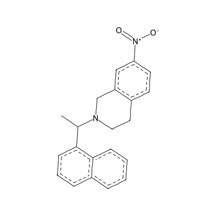 CC(c1cccc2ccccc12)N1CCc2ccc([N+](=O)[O-])cc2C1